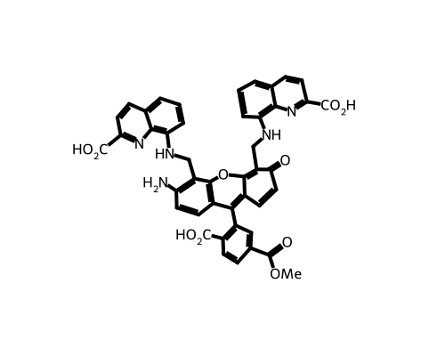 COC(=O)c1ccc(C(=O)O)c(-c2c3ccc(=O)c(CNc4cccc5ccc(C(=O)O)nc45)c-3oc3c(CNc4cccc5ccc(C(=O)O)nc45)c(N)ccc23)c1